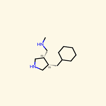 CNC[C@H]1CNC[C@H]1CC1CCCCC1